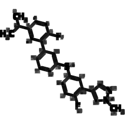 CC(C)c1ccc(F)c(-c2cccc(Sc3ccc(F)c(-c4cnn(C)c4)c3)c2)c1